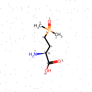 CP(C)(=O)CC[C@H](N)C(=O)O